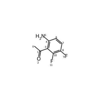 CC(=O)c1c(N)ccc(F)c1F